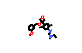 CCN(C)C=Nc1cc(C)c(C2(OCc3cccc(OC)c3)COC2)cc1C